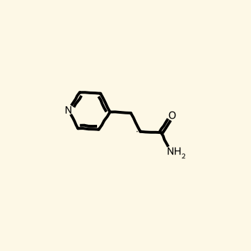 NC(=O)[CH]Cc1ccncc1